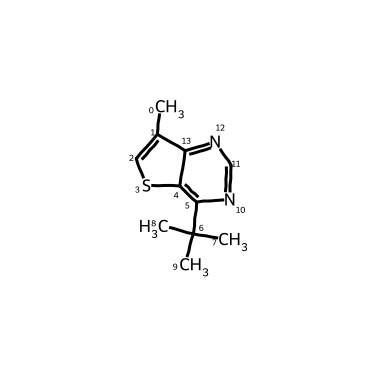 Cc1csc2c(C(C)(C)C)ncnc12